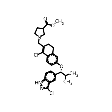 COC(=O)C1CCN(CC2=C(Cl)c3ccc(O[C@@H](c4ccc5[nH]nc(Cl)c5c4)C(C)C)cc3CC2)C1